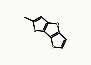 Cc1cc2oc3ccsc3c2s1